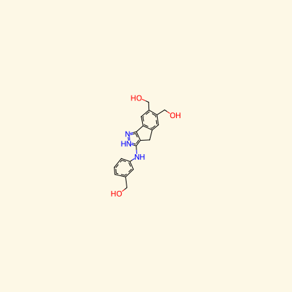 OCc1cccc(Nc2[nH]nc3c2Cc2cc(CO)c(CO)cc2-3)c1